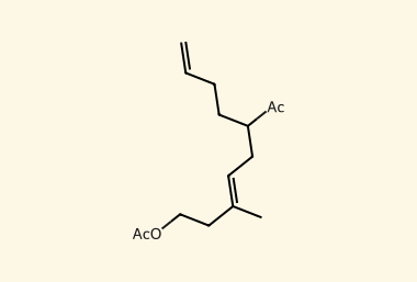 C=CCCC(CC=C(C)CCOC(C)=O)C(C)=O